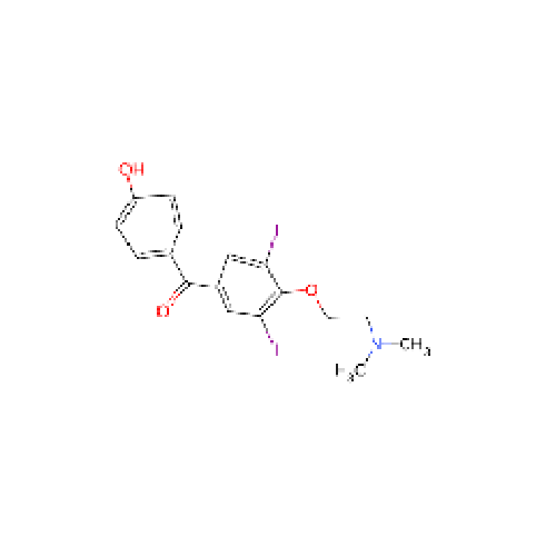 CN(C)CCOc1c(I)cc(C(=O)c2ccc(O)cc2)cc1I